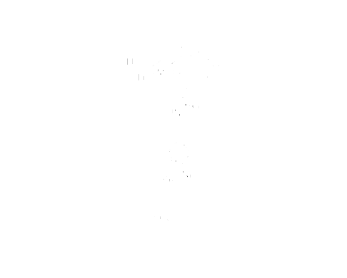 CO[C@H]1[C@H](C2(C)O[C@@H]2CC=C(C)C)[C@]2(CC[C@H]1OC(=O)NCCc1ccc(NC(=O)CCCC(=O)C(C)C)cc1)CO2